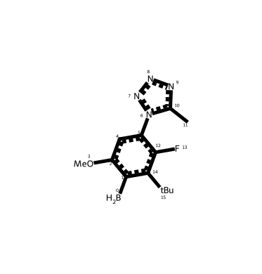 Bc1c(OC)cc(-n2nnnc2C)c(F)c1C(C)(C)C